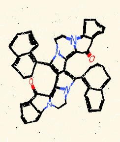 O=C1C2=c3c4c(C5=c6ccccc6=CCC5)n5c(c4c(C4=c6ccccc6=CCC4)n3CCN2c2ccccc21)=C1C(=O)c2ccccc2N1CC5